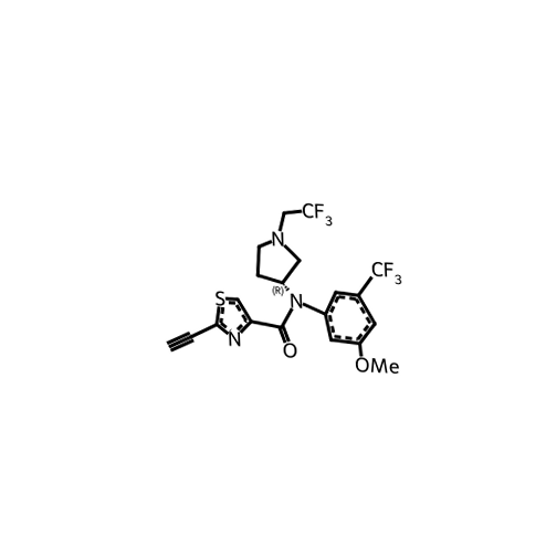 C#Cc1nc(C(=O)N(c2cc(OC)cc(C(F)(F)F)c2)[C@@H]2CCN(CC(F)(F)F)C2)cs1